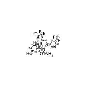 NC1=NC2(CO1)c1cc(-c3cncc(C(F)(F)F)c3)ccc1O[C@H]1CC[C@H](O)C[C@@H]12.O=C(O)C(F)(F)F